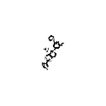 CC1c2cnc(-c3cscn3)nc2CCN1c1cc(F)nc(N2CCCC2)c1